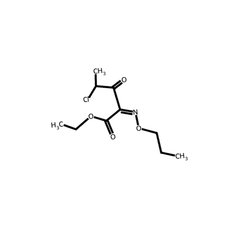 CCCON=C(C(=O)OCC)C(=O)C(C)Cl